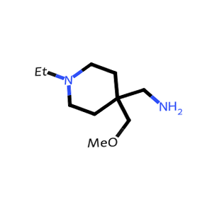 CCN1CCC(CN)(COC)CC1